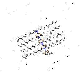 CCCCCCCCCCCN(CCCCCCCCCCC)C(=S)[S-].CCCCCCCCCCCN(CCCCCCCCCCC)C(=S)[S-].CCCCCCCCCCCN(CCCCCCCCCCC)C(=S)[S-].CCCCCCCCCCCN(CCCCCCCCCCC)C(=S)[S-].[Mo+4]